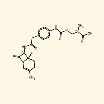 CC1=CN2C(=O)[C@@H](NC(=O)Cc3ccc(NC(=O)OC[C@@H](N)C(=O)O)cc3)[C@@H]2SC1